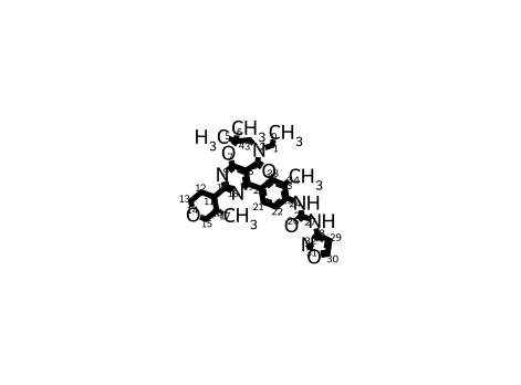 CCN1CC(C)(C)Oc2nc(C3CCOC[C@@H]3C)nc(-c3ccc(NC(=O)Nc4ccon4)c(C)c3)c2C1=O